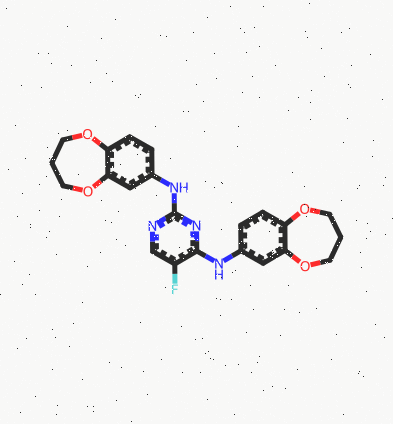 Fc1cnc(Nc2ccc3c(c2)OCCCO3)nc1Nc1ccc2c(c1)OCCCO2